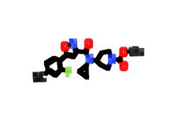 CC(C)(C)OC(=O)N1CCC(N(C(=O)c2cc(-c3ccc(C#N)cc3F)on2)C2CC2)CC1